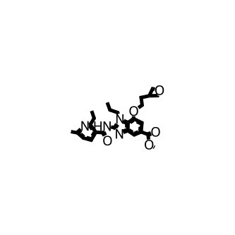 CCCn1c(NC(=O)c2ccc(C)nc2CC)nc2cc(C(=O)OC)cc(OCCC3COC3)c21